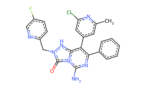 Cc1cc(-c2c(-c3ccccc3)nc(N)[n+]3c(=O)n(Cc4ccc(F)cn4)[nH]c23)cc(Cl)n1